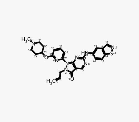 C=CCn1c(=O)c2cnc(Nc3ccc4sncc4c3)nc2n1-c1cccc(OC2CCN(C)CC2)n1